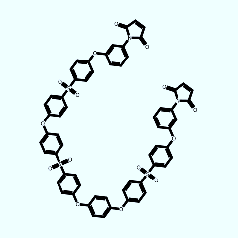 O=C1C=CC(=O)N1c1cccc(Oc2ccc(S(=O)(=O)c3ccc(Oc4ccc(Oc5ccc(S(=O)(=O)c6ccc(Oc7ccc(S(=O)(=O)c8ccc(Oc9cccc(N%10C(=O)C=CC%10=O)c9)cc8)cc7)cc6)cc5)cc4)cc3)cc2)c1